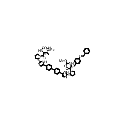 COC(=O)N[C@@H](Cc1ccc(OCc2ccccc2)cc1)C(=O)N1CCC[C@H]1c1ncc(-c2ccc(-c3ccc(-c4cnc([C@@H]5CCCN5C(=O)[C@@H](NC(=O)O)[C@@H](C)OC)[nH]4)cc3)cc2)[nH]1